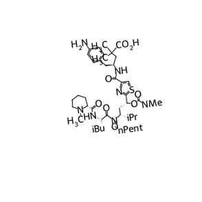 CCCCCON(C(=O)[C@@H](NC(=O)[C@H]1CCCCN1C)[C@@H](C)CC)[C@H](C[C@@H](OC(=O)NC)c1nc(C(=O)N[C@@H](Cc2ccc(N)cc2)CC(C)(C)C(=O)O)cs1)C(C)C